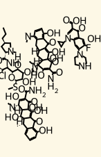 CCC[C@@H]1C[C@@H](C(=O)N[C@@H]([C@H]2O[C@H](SC)[C@H](O)[C@@H](O)[C@H]2O)[C@H](C)Cl)N(C)C1.CN(C)c1ccc(O)c2c1C[C@H]1C[C@H]3[C@H](N(C)C)C(O)=C(C(N)=O)C(=O)[C@@]3(O)C(O)=C1C2=O.C[C@H]1c2cccc(O)c2C(=O)C2=C(O)[C@]3(O)C(=O)C(C(N)=O)=C(O)[C@@H](N(C)C)[C@@H]3[C@@H](O)[C@@H]21.O.O=C(O)c1cn(C2CC2)c2cc(N3CCNCC3)c(F)cc2c1=O